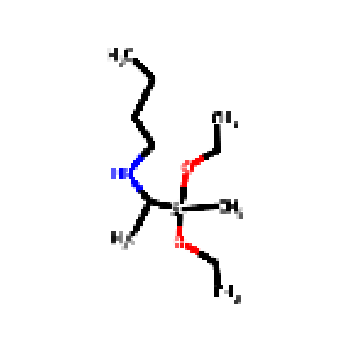 CCCCNC(C)[Si](C)(OCC)OCC